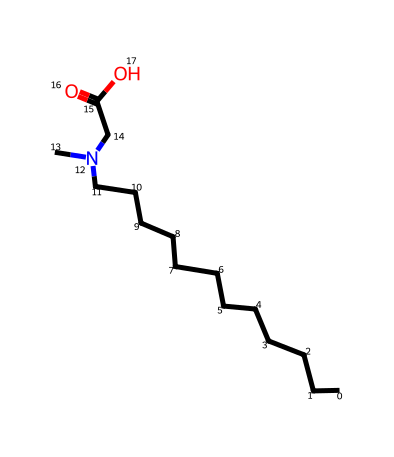 CCCCCCCCCCCCN(C)CC(=O)O